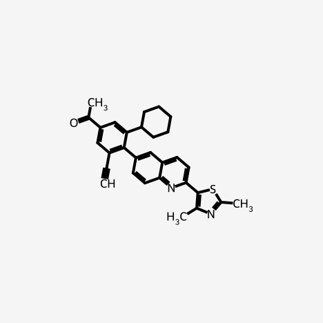 C#Cc1cc(C(C)=O)cc(C2CCCCC2)c1-c1ccc2nc(-c3sc(C)nc3C)ccc2c1